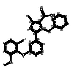 COc1cccc(F)c1Oc1cncc(-c2nc(C)c(C(=O)O)n2Cc2ccccc2)n1